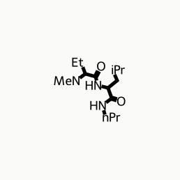 CCCNC(=O)C(CC(C)C)NC(=O)C(CC)NC